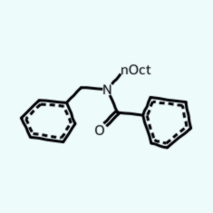 CCCCCCCCN(Cc1ccccc1)C(=O)c1ccccc1